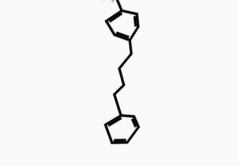 O=S(=O)(O)c1ccc(CCCCc2ccccc2)cc1